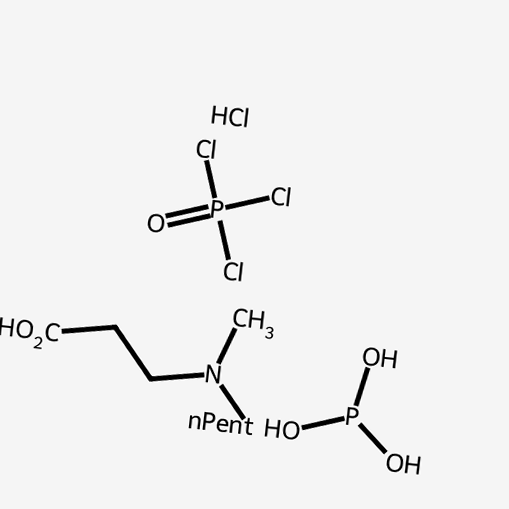 CCCCCN(C)CCC(=O)O.Cl.O=P(Cl)(Cl)Cl.OP(O)O